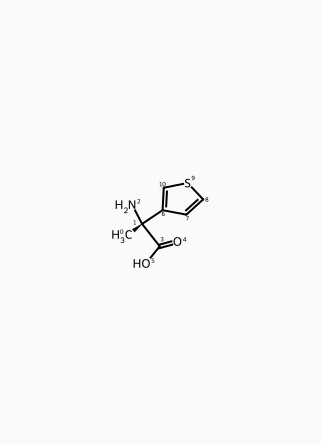 C[C@](N)(C(=O)O)c1ccsc1